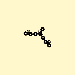 c1ccc(-c2nc(-c3ccc(-c4ccc5c(c4)oc4ccccc45)cc3)cc(-c3ccc(-c4ccc5c(c4)oc4ccccc45)cc3)n2)cc1